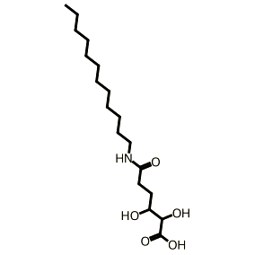 CCCCCCCCCCCCNC(=O)CCC(O)C(O)C(=O)O